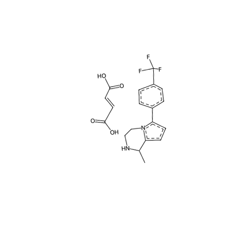 CC1NCCn2c(-c3ccc(C(F)(F)F)cc3)ccc21.O=C(O)C=CC(=O)O